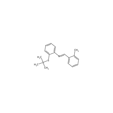 Cc1ccccc1C=Nc1ccccc1S[Si](C)(C)C